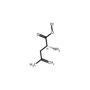 C=C(C)C[C@@H](N)C(=O)OCC